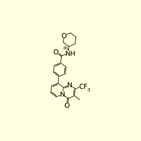 Cc1c(C(F)(F)F)nc2c(-c3ccc(C(=O)N[C@@H]4CCCOC4)cc3)cccn2c1=O